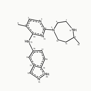 Cc1cnc(N2CCNC(C)CC2)nc1Nc1ccc2[nH]ncc2c1